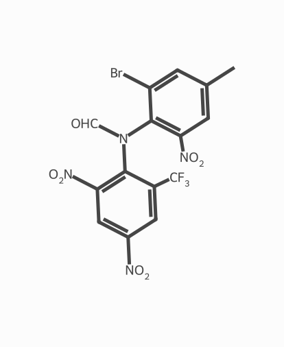 Cc1cc(Br)c(N(C=O)c2c([N+](=O)[O-])cc([N+](=O)[O-])cc2C(F)(F)F)c([N+](=O)[O-])c1